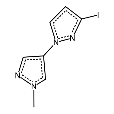 Cn1cc(-n2ccc(I)n2)cn1